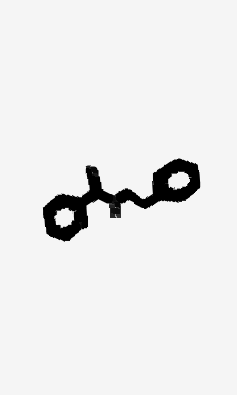 O=C(NCCc1ccccc1)c1ccccn1